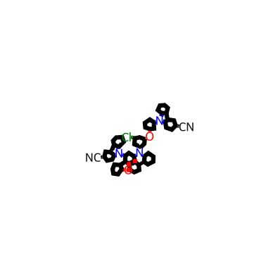 N#Cc1ccc2c(c1)c1ccccc1n2-c1cccc(Oc2cc(Cl)cc(N(c3cc(-n4c5ccccc5c5cc(C#N)ccc54)c4c(c3)oc3ccccc34)c3ccccc3-c3ccccc3)c2)c1